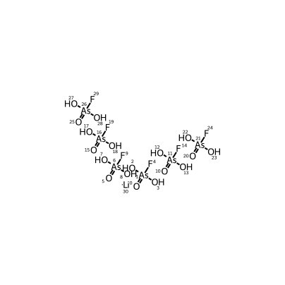 O=[As](O)(O)F.O=[As](O)(O)F.O=[As](O)(O)F.O=[As](O)(O)F.O=[As](O)(O)F.O=[As](O)(O)F.[Li]